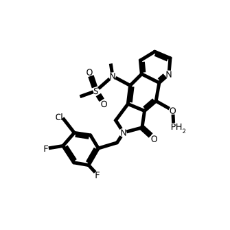 CN(c1c2c(c(OP)c3ncccc13)C(=O)N(Cc1cc(Cl)c(F)cc1F)C2)S(C)(=O)=O